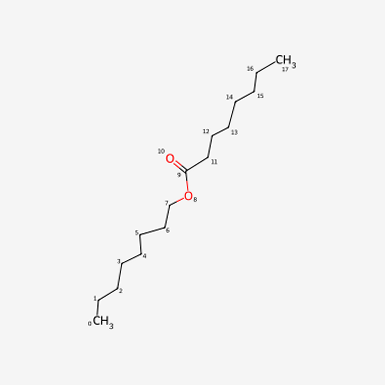 CCCCCCCCOC(=O)CCCCCCC